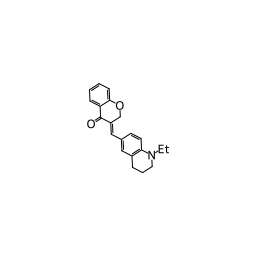 CCN1CCCc2cc(C=C3COc4ccccc4C3=O)ccc21